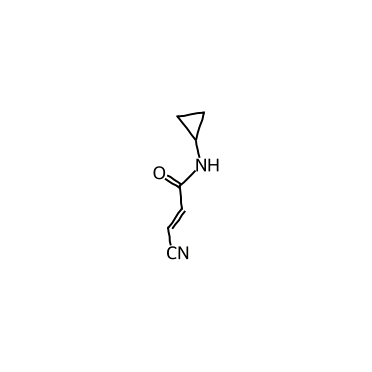 N#C/C=C/C(=O)NC1CC1